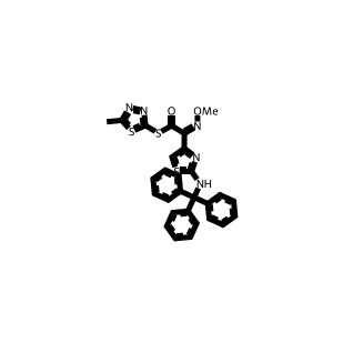 CO/N=C(\C(=O)Sc1nnc(C)s1)c1csc(NC(c2ccccc2)(c2ccccc2)c2ccccc2)n1